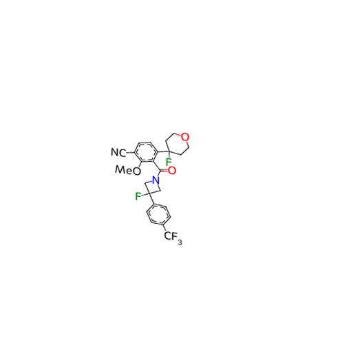 COc1c(C#N)ccc(C2(F)CCOCC2)c1C(=O)N1CC(F)(c2ccc(C(F)(F)F)cc2)C1